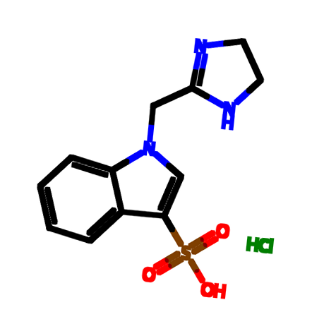 Cl.O=S(=O)(O)c1cn(CC2=NCCN2)c2ccccc12